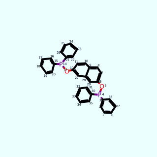 c1ccc(P(Oc2ccc3ccc(OP(c4ccccc4)c4ccccc4)cc3c2)c2ccccc2)cc1